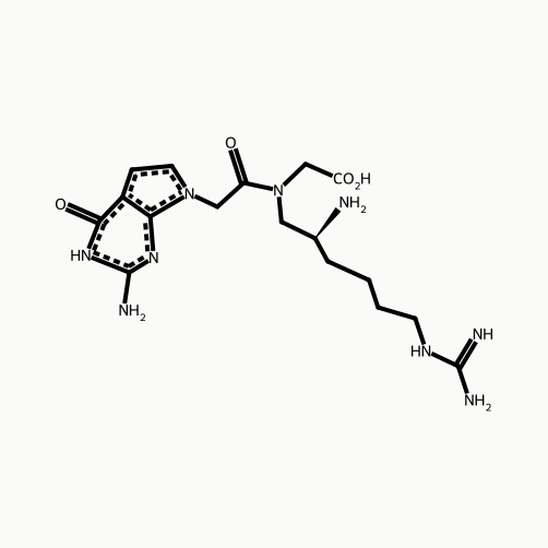 N=C(N)NCCCC[C@H](N)CN(CC(=O)O)C(=O)Cn1ccc2c(=O)[nH]c(N)nc21